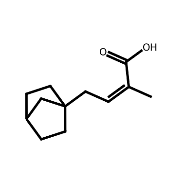 CC(=CCC12CCC(CC1)C2)C(=O)O